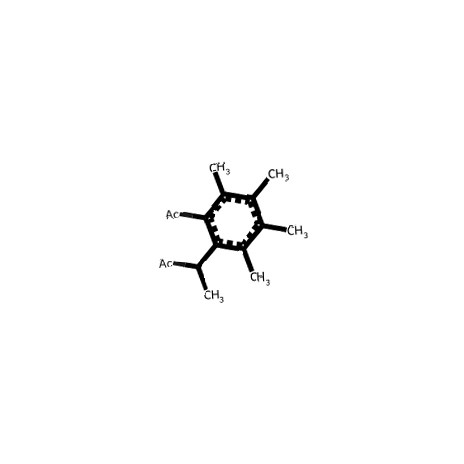 CC(=O)c1c(C)c(C)c(C)c(C)c1C(C)C(C)=O